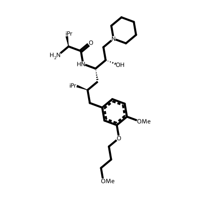 COCCCOc1cc(C[C@H](C[C@H](NC(=O)[C@@H](N)C(C)C)[C@@H](O)CN2CCCCC2)C(C)C)ccc1OC